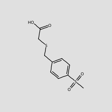 CS(=O)(=O)c1ccc(CSCC(=O)O)cc1